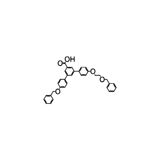 O=C(O)c1cc(-c2ccc(OCCOCc3ccccc3)cc2)cc(-c2ccc(OCc3ccccc3)cc2)c1